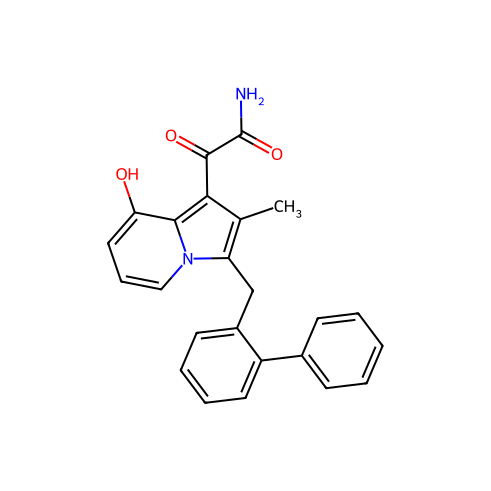 Cc1c(C(=O)C(N)=O)c2c(O)cccn2c1Cc1ccccc1-c1ccccc1